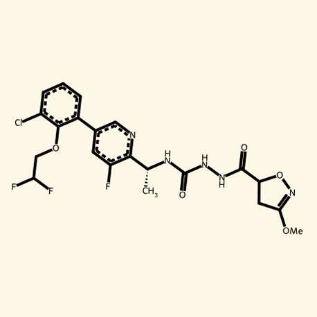 COC1=NOC(C(=O)NNC(=O)N[C@H](C)c2ncc(-c3cccc(Cl)c3OCC(F)F)cc2F)C1